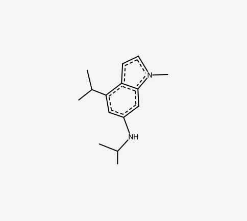 CC(C)Nc1cc(C(C)C)c2ccn(C)c2c1